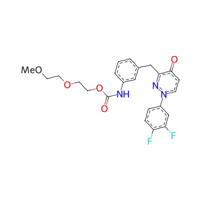 COCCOCCOC(=O)Nc1cccc(Cc2nn(-c3ccc(F)c(F)c3)ccc2=O)c1